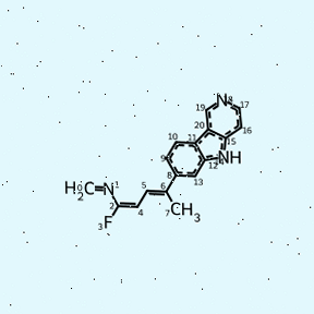 C=N/C(F)=C\C=C(/C)c1ccc2c(c1)[nH]c1ccncc12